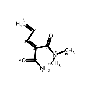 C=CC=C(C(N)=O)C(=O)N(C)C